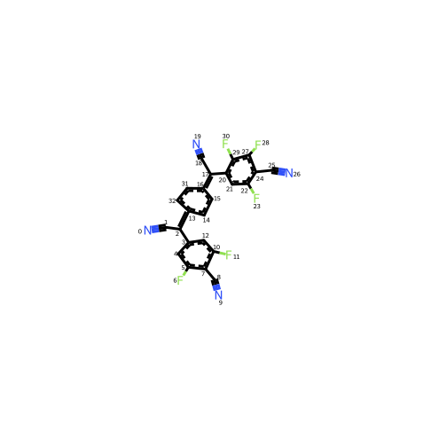 N#CC(c1cc(F)c(C#N)c(F)c1)=c1ccc(=C(C#N)c2cc(F)c(C#N)c(F)c2F)cc1